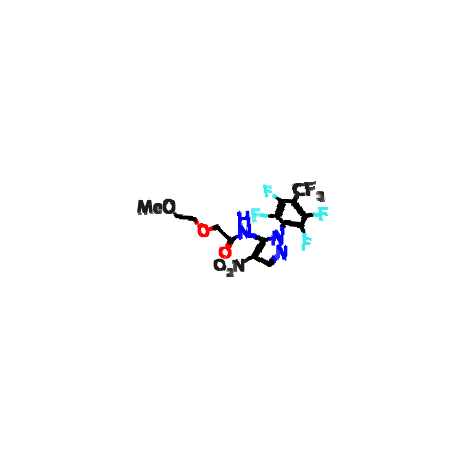 COCCOCC(=O)Nc1c([N+](=O)[O-])cnn1-c1c(F)c(F)c(C(F)(F)F)c(F)c1F